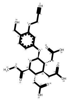 C#CCOc1cc(O[C@@H]2O[C@H](C(=O)OC)[C@@H](CC(=O)O)[C@H](CC(=O)O)[C@H]2CC(=O)O)ccc1CO